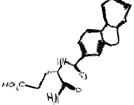 NC(=O)[C@H](CCC(=O)O)NC(=O)c1ccc2c(c1)Cc1ccccc1-2